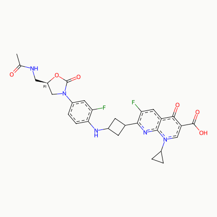 CC(=O)NC[C@@H]1CN(c2ccc(NC3CC(c4nc5c(cc4F)c(=O)c(C(=O)O)cn5C4CC4)C3)c(F)c2)C(=O)O1